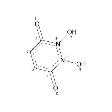 O=c1ccc(=O)n(O)n1O